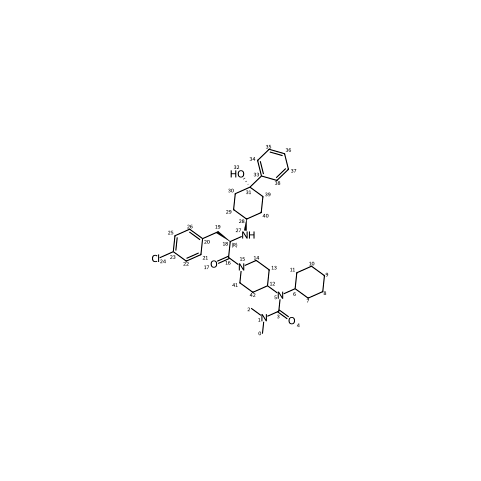 CN(C)C(=O)N(C1CCCCC1)C1CCN(C(=O)[C@@H](Cc2ccc(Cl)cc2)N[C@H]2CC[C@@](O)(c3ccccc3)CC2)CC1